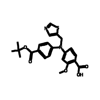 COc1cc(N(Cc2cncs2)c2ccc(C(=O)OC(C)(C)C)cc2)ccc1C(=O)O